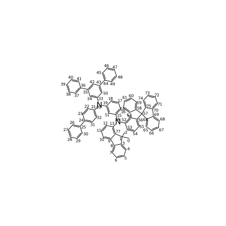 CC1(C)c2ccccc2-c2cccc(N(c3cccc(N(c4ccc(-c5ccccc5)cc4)c4cc(-c5ccccc5)cc(-c5ccccc5)c4)c3)c3cccc(C4(c5ccccc5)c5ccccc5-c5ccccc54)c3)c21